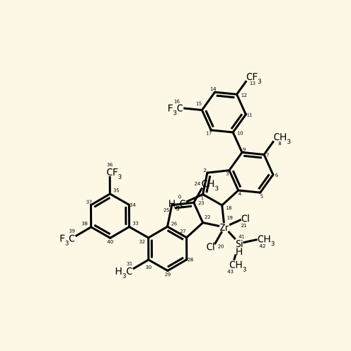 CC1=Cc2c(ccc(C)c2-c2cc(C(F)(F)F)cc(C(F)(F)F)c2)[CH]1[Zr]([Cl])([Cl])([CH]1C(C)=Cc2c1ccc(C)c2-c1cc(C(F)(F)F)cc(C(F)(F)F)c1)[SiH](C)C